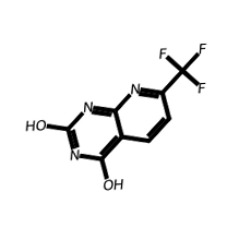 Oc1nc(O)c2ccc(C(F)(F)F)nc2n1